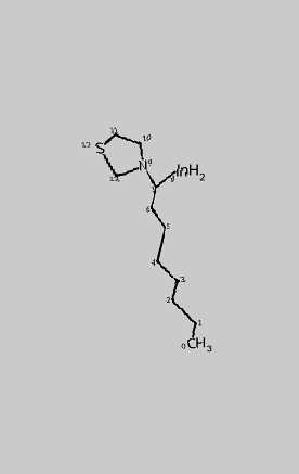 CCCCCCC[CH]([InH2])N1CCSC1